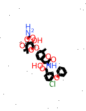 CO[C@@H]1[C@@H](OC(N)=O)[C@@H](O)[C@H](Oc2ccc3c(O)c(NC(=O)c4ccc(Cl)c(Oc5ccccc5)c4)c(=O)oc3c2C)OC1(C)C